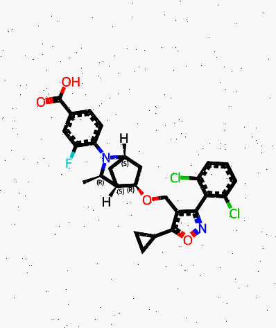 C[C@@H]1[C@@H]2C[C@@H](C[C@H]2OCc2c(-c3c(Cl)cccc3Cl)noc2C2CC2)N1c1ccc(C(=O)O)cc1F